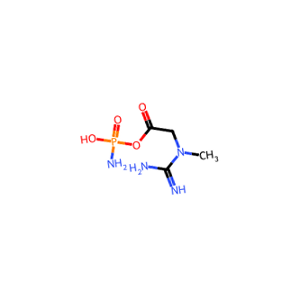 CN(CC(=O)OP(N)(=O)O)C(=N)N